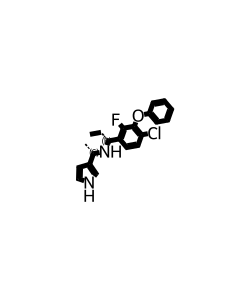 CC[C@@H](N[C@@H](C)c1cc[nH]c1)c1ccc(Cl)c(Oc2ccccc2)c1F